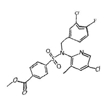 COC(=O)c1ccc(S(=O)(=O)N(Cc2ccc(F)c(Cl)c2)c2ncc(Cl)cc2C)cc1